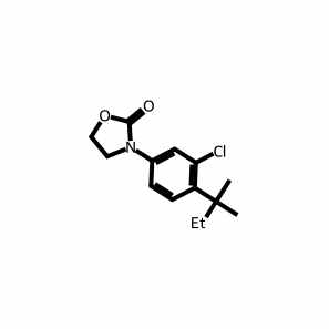 CCC(C)(C)c1ccc(N2CCOC2=O)cc1Cl